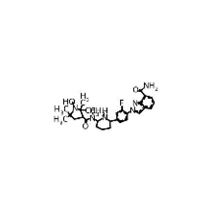 CN(C(=O)C1CC(C)(C)N(O)C1(C)C)C1CCCC(c2ccc(-n3cc4cccc(C(N)=O)c4n3)c(F)c2)N1